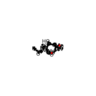 C=C/C(=C(\N=C/C)[C@H](C)OC)c1c2c3cc(ccc3n1CC)-c1cc(O)cc(c1)C[C@H](NC(=O)[C@H](C(C)C)N(C)C(=O)[C@H]1CCN(C(=O)C#CC(C)(C)N(C)C)C1)C(=O)N1CCC[C@H](N1)C(=O)OCC(C)(C)C2